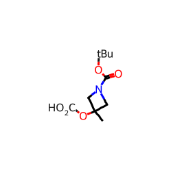 CC(C)(C)OC(=O)N1CC(C)(OC(=O)O)C1